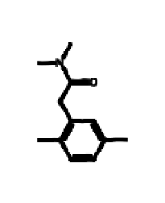 Cc1ccc(C)c(CC(=O)N(C)C)c1